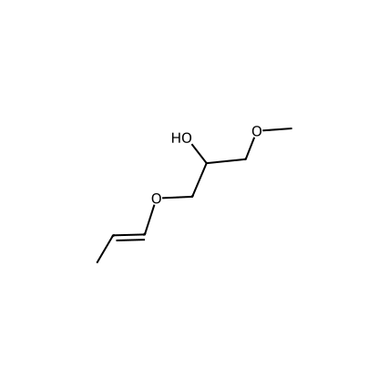 CC=COCC(O)COC